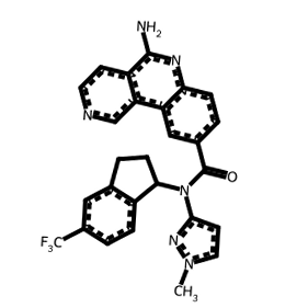 Cn1ccc(N(C(=O)c2ccc3nc(N)c4ccncc4c3c2)C2CCc3cc(C(F)(F)F)ccc32)n1